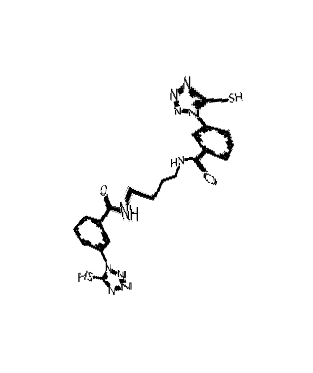 O=C(NCCCCNC(=O)c1cccc(-n2nnnc2S)c1)c1cccc(-n2nnnc2S)c1